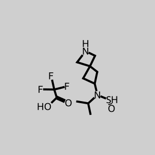 CC(C)N([SH]=O)C1CC2(CNC2)C1.O=C(O)C(F)(F)F